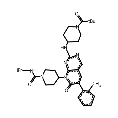 Cc1ccccc1-c1cc2cnc(NC3CCN(C(=O)C(C)(C)C)CC3)nc2n(C2CCN(C(=O)NC(C)C)CC2)c1=O